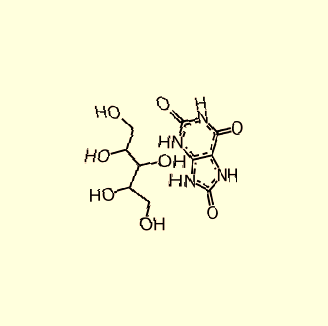 O=c1[nH]c(=O)c2[nH]c(=O)[nH]c2[nH]1.OCC(O)C(O)C(O)CO